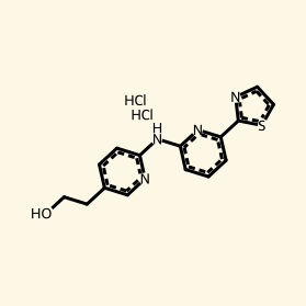 Cl.Cl.OCCc1ccc(Nc2cccc(-c3nccs3)n2)nc1